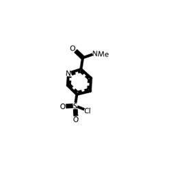 CNC(=O)c1ccc(S(=O)(=O)Cl)cn1